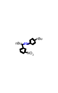 CCCCc1ccc(CNC(CCCC)c2cccc([N+](=O)[O-])c2)cc1